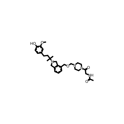 COc1cc(CCC(C)(C)N2Cc3cccc(COCN4CCN(C(=O)CNC(C)=O)CC4)c3C2)ccc1O